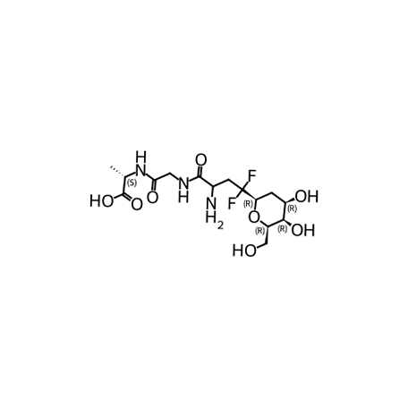 C[C@H](NC(=O)CNC(=O)C(N)CC(F)(F)[C@H]1C[C@@H](O)[C@@H](O)[C@@H](CO)O1)C(=O)O